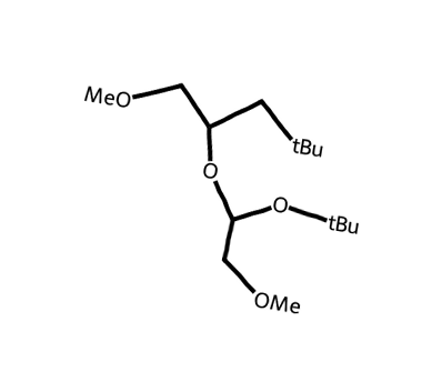 COCC(CC(C)(C)C)OC(COC)OC(C)(C)C